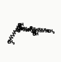 CCCCCCCCCCCCC(CC(=O)O)C(=O)NCCCCCCNC(=O)C(CCCCCCCCCCCC)CC(=O)O